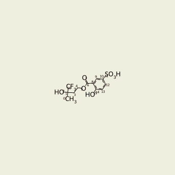 CC(O)(CCOC(=O)c1cc(S(=O)(=O)O)ccc1O)C(F)(F)F